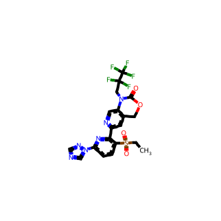 CCS(=O)(=O)c1ccc(-n2cncn2)nc1-c1cc2c(cn1)N(CC(F)(F)C(F)(F)F)C(=O)OC2